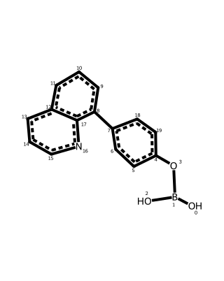 OB(O)Oc1ccc(-c2cccc3cccnc23)cc1